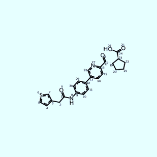 O=C(Cc1ccsc1)Nc1ccc(-c2ccc(C(=O)[C@H]3CCC[C@@H]3C(=O)O)nc2)cc1